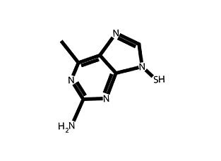 Cc1nc(N)nc2c1ncn2S